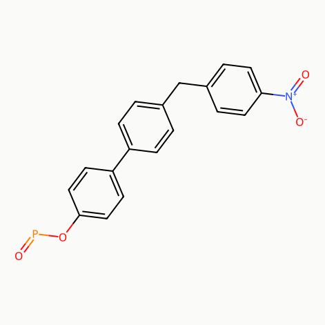 O=POc1ccc(-c2ccc(Cc3ccc([N+](=O)[O-])cc3)cc2)cc1